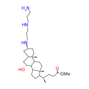 COC(=O)CC[C@@H](C)C1CCC2C3C(CC[C@@]21C)[C@@]1(C)CC[C@H](NCCCNCCCN)CC1C[C@H]3O